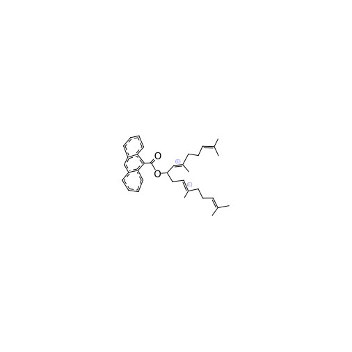 CC(C)=CCC/C(C)=C/CC(/C=C(\C)CCC=C(C)C)OC(=O)c1c2ccccc2cc2ccccc12